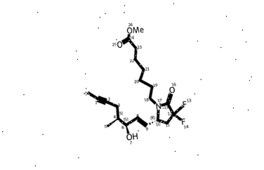 CC#CC[C@H](C)[C@H](O)C=C[C@H]1CC(F)(F)C(=O)N1CCCCCCC(=O)OC